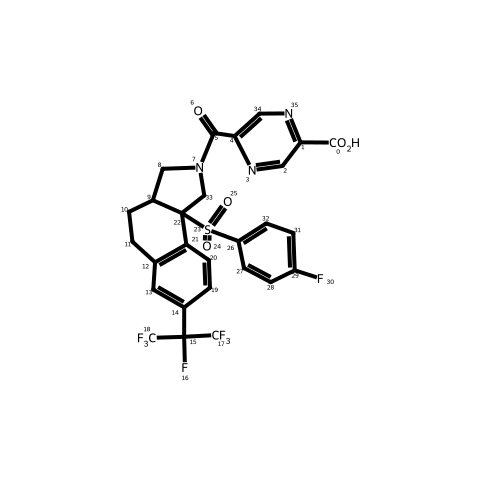 O=C(O)c1cnc(C(=O)N2CC3CCc4cc(C(F)(C(F)(F)F)C(F)(F)F)ccc4C3(S(=O)(=O)c3ccc(F)cc3)C2)cn1